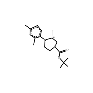 Cc1ccc(N2CCN(C(=O)OC(C)(C)C)C[C@H]2C)c(C)c1